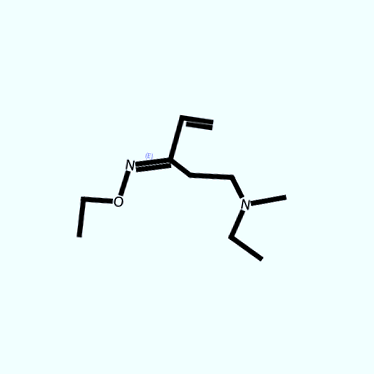 C=C/C(CCN(C)CC)=N/OCC